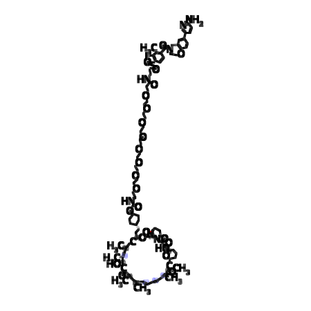 CO[C@H]1CC2CCC[C@@](O)(O2)C(=O)C(=O)N2CCCC[C@H]2C(=O)O[C@H](CC[C@H]2CC[C@H](OC(=O)NCCOCCOCCOCCOCCOCCOCCOCCOCCC(=O)NCCS(=O)(=O)c3ccc(C(=O)N4CCOc5ccc(-c6ccc(N)nc6)cc5C4)c(C)c3F)CC2)CC[C@H](C)/C=C(\C)[C@@H](O)CC(=O)[C@H](C)C[C@H](C)/C=C/C=C/C=C/1C